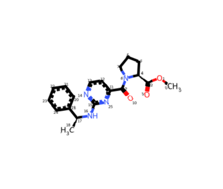 COC(=O)[C@@H]1CCCN1C(=O)c1ccnc(N[C@@H](C)c2ccccc2)n1